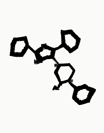 CC(=O)N1C[C@H](c2[nH]c(-c3ccccc3)nc2-c2ccccn2)CC[C@H]1c1ccccc1